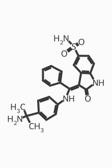 CC(C)(N)c1ccc(N/C(=C2\C(=O)Nc3ccc(S(N)(=O)=O)cc32)c2ccccc2)cc1